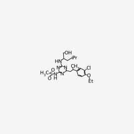 CCOc1ccc(C(C)Cc2nc(NC(CO)CC(C)C)nc(NS(C)(=O)=O)n2)cc1Cl